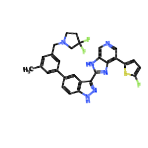 Cc1cc(CN2CCC(F)(F)C2)cc(-c2ccc3[nH]nc(-c4nc5c(-c6ccc(F)s6)cncc5[nH]4)c3c2)c1